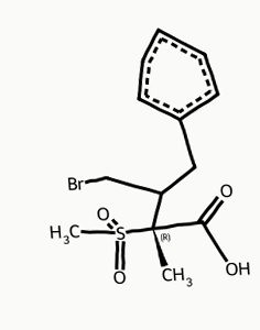 C[C@](C(=O)O)(C(CBr)Cc1ccccc1)S(C)(=O)=O